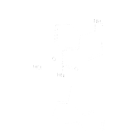 Cl.Nc1cccc2c(S(=O)(=O)NCc3cccc4ccccc34)cccc12